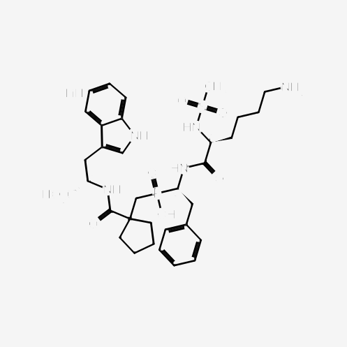 CS(=O)(=O)N[C@@H](CCCCN)C(=O)N[C@@H](Cc1ccccc1)P(=O)(O)CC1(C(=O)N[C@@H](Cc2c[nH]c3ccccc23)C(=O)O)CCCC1.[LiH]